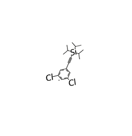 CC(C)[Si](C#Cc1cc(Cl)[c]c(Cl)c1)(C(C)C)C(C)C